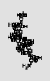 CC(=O)Nc1ccc(N=Nc2c(S(=O)(=O)O)cc3c(S(=O)(=O)O)c(N=Nc4c(S(=O)(=O)O)cc5cc(S(=O)(=O)O)c(N=Nc6cc7c(O)c(N=Nc8ccc(CN)cc8S(=O)(=O)O)ccc7cc6S(=O)(=O)O)c(O)c5c4N)ccc3c2O)cc1